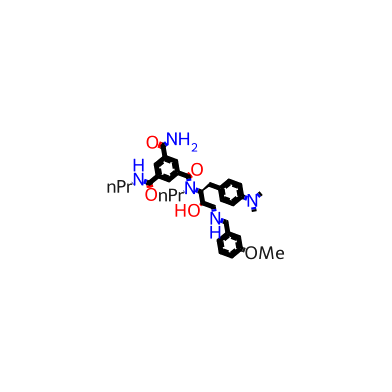 CCCNC(=O)c1cc(C(N)=O)cc(C(=O)N(CCC)[C@@H](Cc2ccc(N(C)C)cc2)[C@H](O)CNCc2cccc(OC)c2)c1